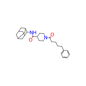 O=C(NC1C2CC3CC(C2)CC1C3)C1CCN(C(=O)CCCCc2ccccc2)CC1